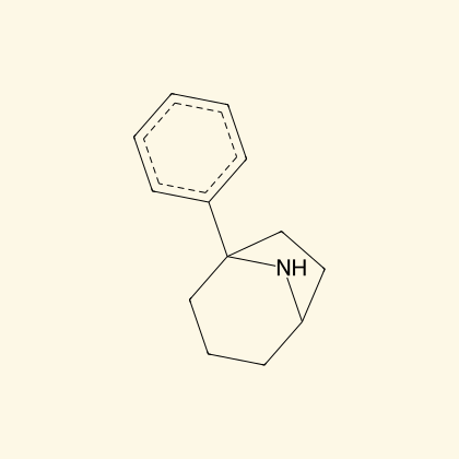 c1ccc(C23CCCC(CC2)N3)cc1